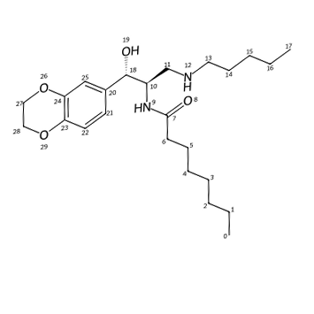 CCCCCCCC(=O)N[C@H](CNCCCCC)[C@@H](O)c1ccc2c(c1)OCCO2